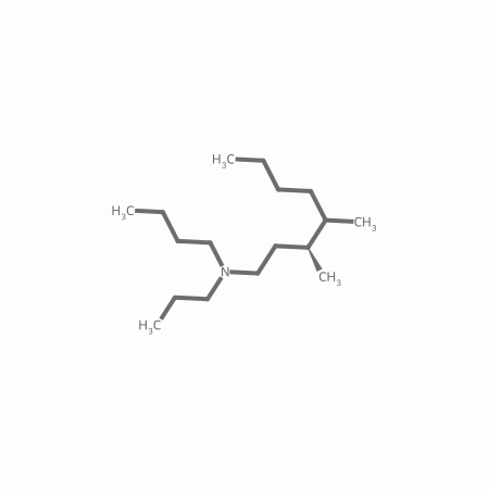 CCCCC(C)[C@@H](C)CCN(CCC)CCCC